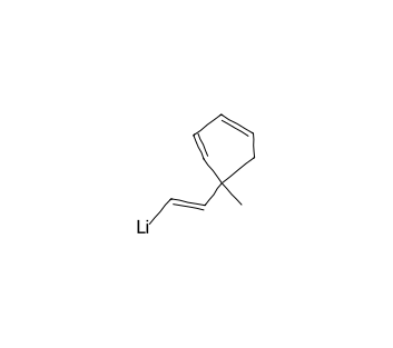 [Li][CH]=CC1(C)C=CC=CC1